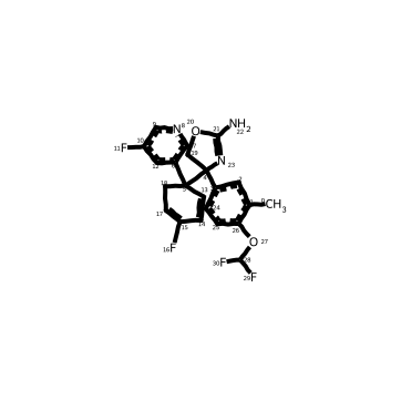 Cc1cc(C2(C3(c4cncc(F)c4)C=CC(F)=CC3)COC(N)=N2)ccc1OC(F)F